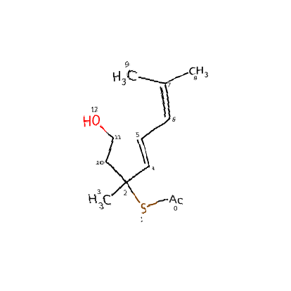 CC(=O)SC(C)(C=CC=C(C)C)CCO